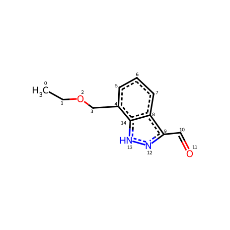 CCOCc1cccc2c(C=O)n[nH]c12